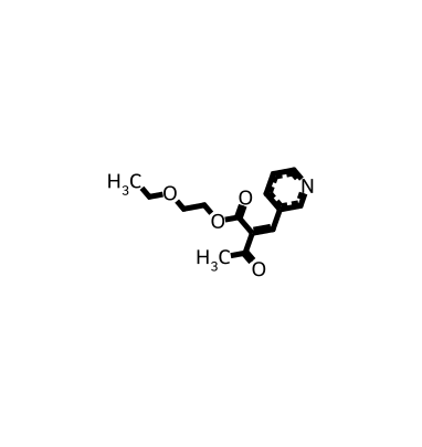 CCOCCOC(=O)C(=Cc1cccnc1)C(C)=O